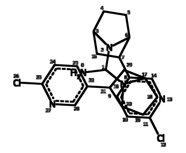 NC(N1C2CCC1C(c1ccc(Cl)nc1)C2)N1C2CCC1C(c1ccc(Cl)nc1)C2